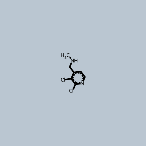 CNCc1ccnc(Cl)c1Cl